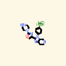 Cl.Cl.Clc1ccc(-n2c(-c3coc(N4CCNCC4)n3)nc3ccncc32)cc1